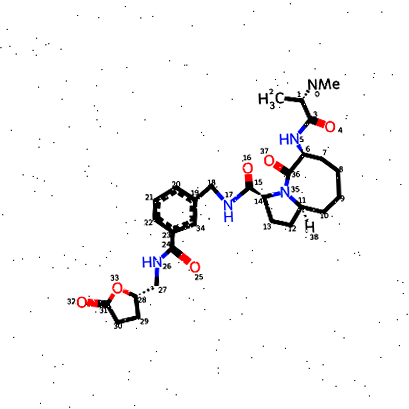 CN[C@@H](C)C(=O)N[C@H]1CCCC[C@H]2CC[C@@H](C(=O)NCc3cccc(C(=O)NC[C@@H]4CCC(=O)O4)c3)N2C1=O